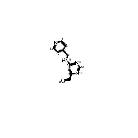 O=Cc1cc(NCc2ccncc2)ncn1